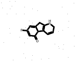 O=C1C=C(F)C=C2CC3=C(C=CCN3)C12